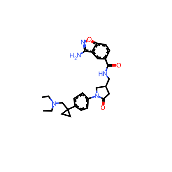 CCN(CC)CC1(c2ccc(N3CC(CNC(=O)c4ccc5onc(N)c5c4)CC3=O)cc2)CC1